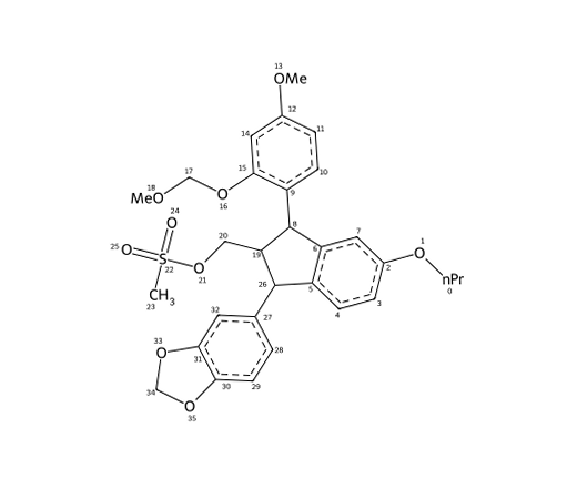 CCCOc1ccc2c(c1)C(c1ccc(OC)cc1OCOC)C(COS(C)(=O)=O)C2c1ccc2c(c1)OCO2